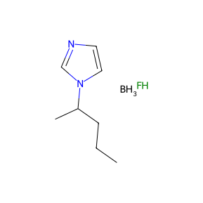 B.CCCC(C)n1ccnc1.F